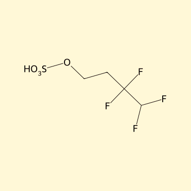 O=S(=O)(O)OCCC(F)(F)C(F)F